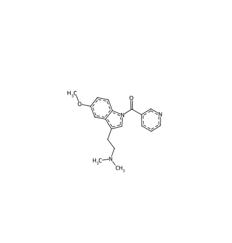 COc1ccc2c(c1)c(CCN(C)C)cn2C(=O)c1cccnc1